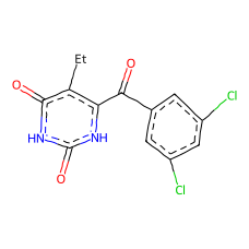 CCc1c(C(=O)c2cc(Cl)cc(Cl)c2)[nH]c(=O)[nH]c1=O